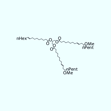 CCCCCC/C=C/CCCCCCCC(=O)OC(COC(=O)CCCCCCC/C=C/CC(CCCCC)OC)COC(=O)CCCCCCC/C=C/CC(CCCCC)OC